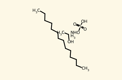 CCCCCCCCCCCCCC.CCO.N.O=S(=O)(O)O